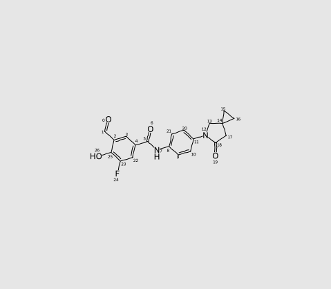 O=Cc1cc(C(=O)Nc2ccc(N3CC4(CC4)CC3=O)cc2)cc(F)c1O